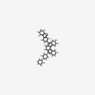 c1ccc(-c2ccc(-n3c4ccccc4c4c5c6ccccc6n(-c6ccc7c(c6)oc6ccccc67)c5ccc43)cc2)cc1